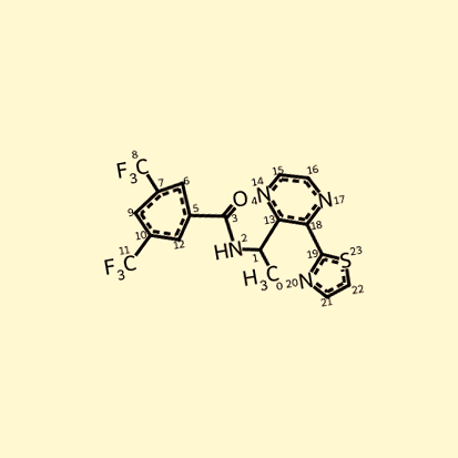 CC(NC(=O)c1cc(C(F)(F)F)cc(C(F)(F)F)c1)c1nccnc1-c1nccs1